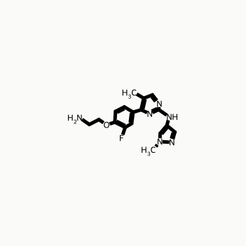 Cc1cnc(Nc2cnn(C)c2)nc1-c1ccc(OCCN)c(F)c1